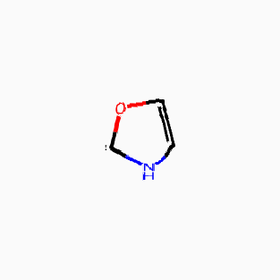 [C]1NC=CO1